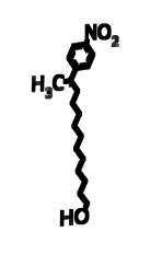 C[C](CCCCCCCCCCCO)c1ccc([N+](=O)[O-])cc1